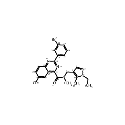 CCn1ncc(CN(C)C(=O)c2nc(-c3cccc(Br)c3)nc3ccc(Cl)cc23)c1C